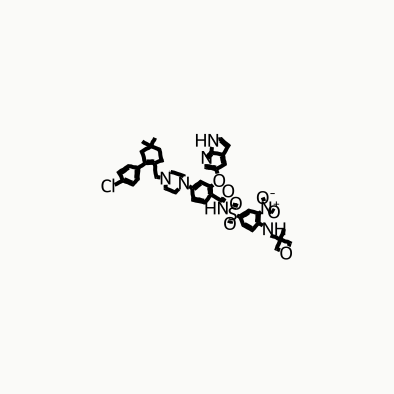 CC1(C)CCC(CN2CCN(c3ccc(C(=O)NS(=O)(=O)c4ccc(NCC5(C)COC5)c([N+](=O)[O-])c4)c(Oc4cnc5[nH]ccc5c4)c3)CC2)=C(c2ccc(Cl)cc2)C1